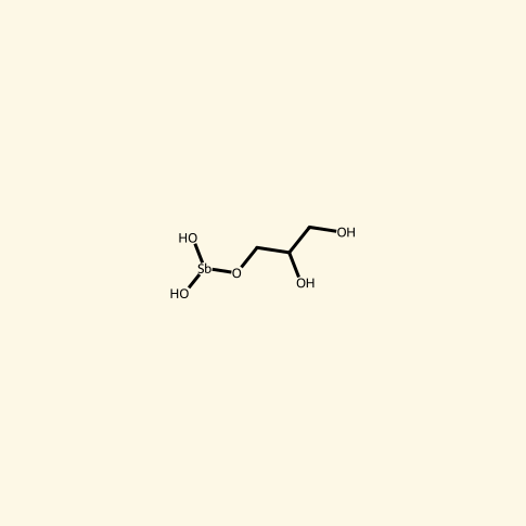 OCC(O)C[O][Sb]([OH])[OH]